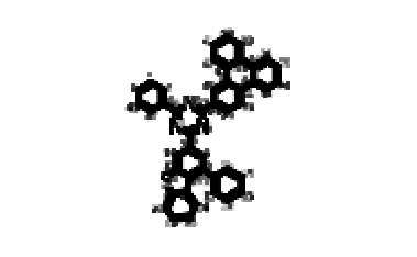 c1ccc(-c2nc(-c3cc(-c4ccccc4)c4c(c3)sc3ccccc34)nc(-c3ccc4c5ccccc5c5ccccc5c4c3)n2)cc1